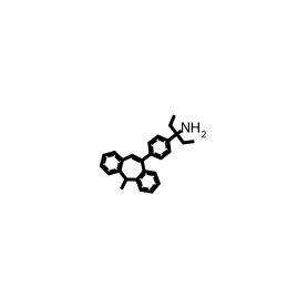 CCC(N)(CC)c1ccc(C2=Cc3ccccc3C(C)c3ccccc32)cc1